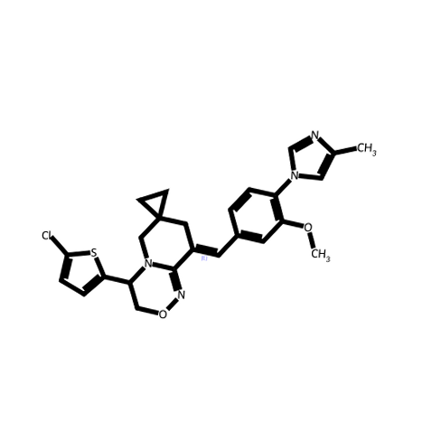 COc1cc(/C=C2\CC3(CC3)CN3C2=NOCC3c2ccc(Cl)s2)ccc1-n1cnc(C)c1